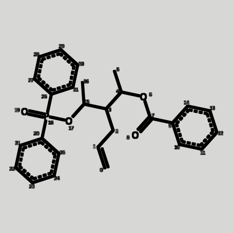 C=CCC(C(C)OC(=O)c1ccccc1)C(C)OP(=O)(c1ccccc1)c1ccccc1